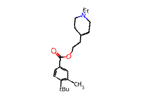 CCN1CCC(CCOC(=O)c2ccc(C(C)(C)C)c(C)c2)CC1